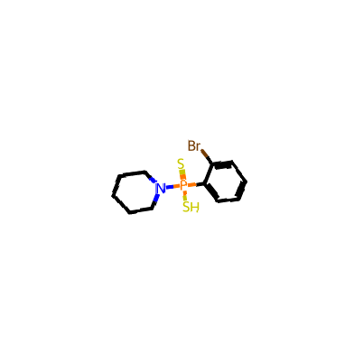 S=P(S)(c1ccccc1Br)N1CCCCC1